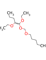 CCCCCOCOC(OCC)=C(CCC)OCC